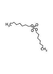 CCCCCCCOS(=O)(=O)OCCCCCCC